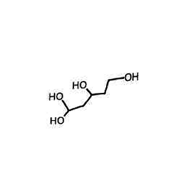 OCCC(O)CC(O)O